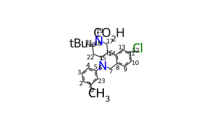 Cc1cccc(N(Cc2ccc(Cl)cc2)C2CCN(C(=O)O)C(C(C)(C)C)C2)c1